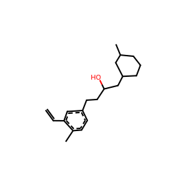 C=Cc1cc(CCC(O)CC2CCCC(C)C2)ccc1C